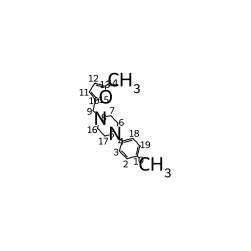 Cc1ccc(N2CCN(Cc3ccc(C)o3)CC2)cc1